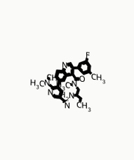 CCC(N)CN(C)C(=O)c1c(-c2cc(C)cc(F)c2)cnc2ccc(-c3cc(C#N)cnc3N(C)C)cc12